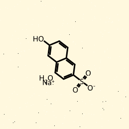 O.O=S(=O)([O-])c1ccc2cc(O)ccc2c1.[Na+]